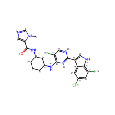 Cn1cncc1C(=O)N[C@@H]1CCC[C@H](Nc2nc(-c3c[nH]c4c(F)cc(Cl)cc34)ncc2F)C1